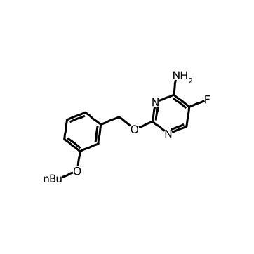 CCCCOc1cccc(COc2ncc(F)c(N)n2)c1